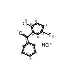 Cl.O=C(c1ccccc1)c1cc(F)ccc1Cl